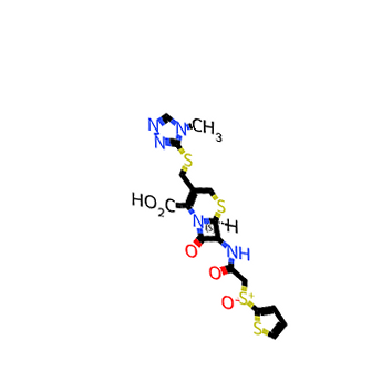 Cn1cnnc1SCC1=C(C(=O)O)N2C(=O)C(NC(=O)C[S+]([O-])c3cccs3)[C@@H]2SC1